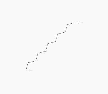 [CH2]CCCCCCCCCCCCCCCOC